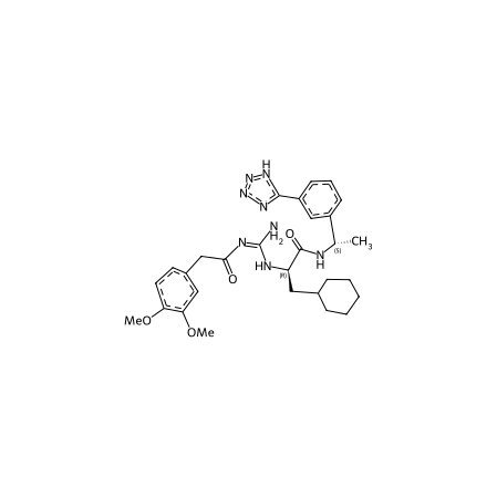 COc1ccc(CC(=O)N=C(N)N[C@H](CC2CCCCC2)C(=O)N[C@@H](C)c2cccc(-c3nnn[nH]3)c2)cc1OC